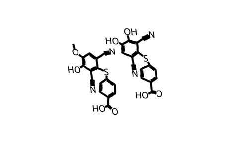 COc1cc(C#N)c(Sc2ccc(C(=O)O)cc2)c(C#N)c1O.N#Cc1cc(O)c(O)c(C#N)c1Sc1ccc(C(=O)O)cc1